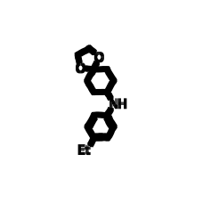 CCc1ccc(NC2CCC3(CC2)OCCO3)cc1